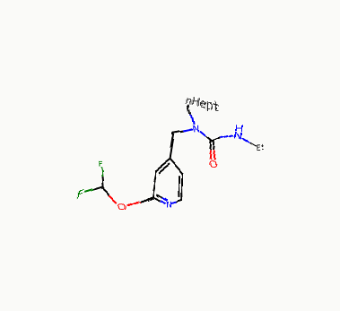 CCCCCCCN(Cc1ccnc(OC(F)F)c1)C(=O)NCC